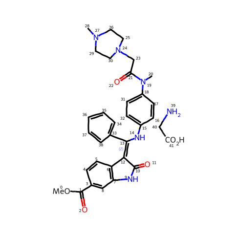 COC(=O)c1ccc2c(c1)NC(=O)/C2=C(\Nc1ccc(N(C)C(=O)CN2CCN(C)CC2)cc1)c1ccccc1.NCC(=O)O